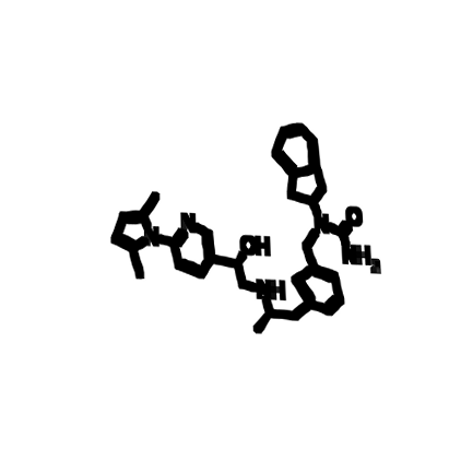 Cc1ccc(C)n1-c1ccc([C@@H](O)CN[C@H](C)Cc2cccc(CN(C(N)=O)C3Cc4ccccc4C3)c2)cn1